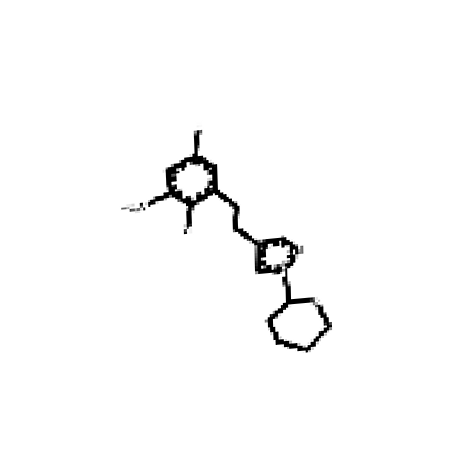 O=C(O)c1cc(F)cc(CCc2cnn(C3CCCCO3)c2)c1Cl